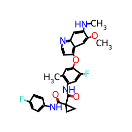 CNc1cc2nccc(Oc3cc(C)c(NC(=O)C4(C(=O)Nc5ccc(F)cc5)CC4)cc3F)c2cc1OC